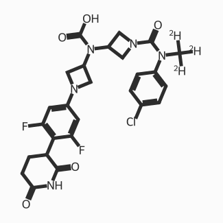 [2H]C([2H])([2H])N(C(=O)N1CC(N(C(=O)O)C2CN(c3cc(F)c(C4CCC(=O)NC4=O)c(F)c3)C2)C1)c1ccc(Cl)cc1